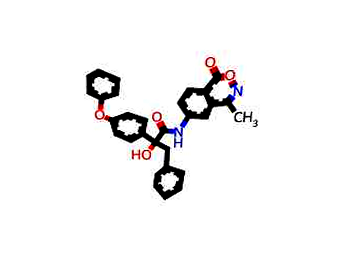 Cc1noc(=O)c2ccc(NC(=O)C(O)(Cc3ccccc3)c3ccc(Oc4ccccc4)cc3)cc12